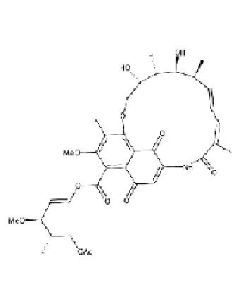 COc1c(C)c2c3c(c1C(=O)O/C=C/[C@H](OC)[C@@H](C)COC(C)=O)C(=O)C=C(NC(=O)/C(C)=C\C=C\[C@H](C)[C@H](O)[C@@H](C)[C@@H](O)CO2)C3=O